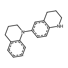 [c]1ccc2c(c1)N(c1ccc3c(c1)CCCN3)CCC2